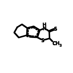 CC1Sc2cc3c(cc2NC1=S)CCCC3